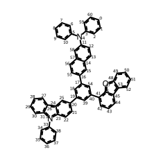 c1ccc(N(c2ccccc2)c2ccc3cc(-c4cc(-c5ccc6c(c5)c5ccccc5n6-c5ccccc5)cc(-c5cccc6c5oc5ccccc56)c4)ccc3c2)cc1